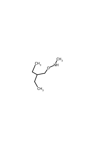 CCC(CC)CONC